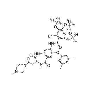 [2H]C([2H])([2H])Oc1cc(C(=O)Nc2cc3c(cc2Oc2cc(C)cc(C)c2)C(=O)N(C)C(CC(=O)N2CCN(C)CC2)C(=O)N3)c(Br)c(OC([2H])([2H])[2H])c1OC([2H])([2H])[2H]